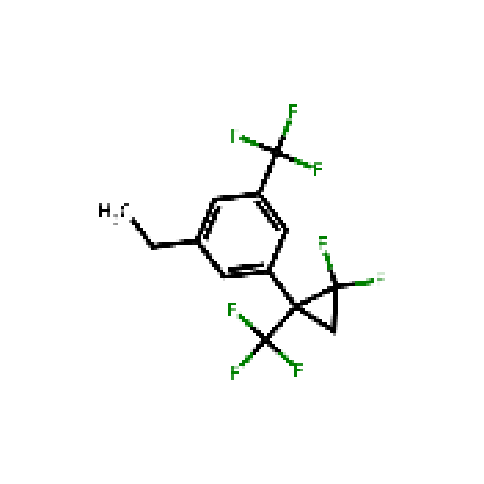 CCc1cc(C(F)(F)F)cc(C2(C(F)(F)F)CC2(F)F)c1